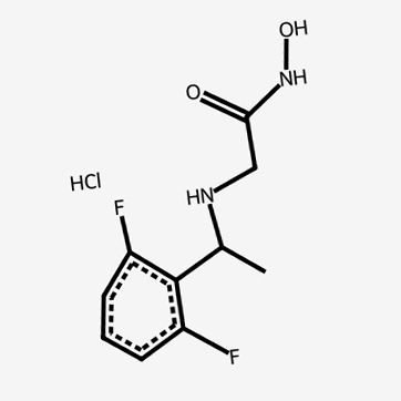 CC(NCC(=O)NO)c1c(F)cccc1F.Cl